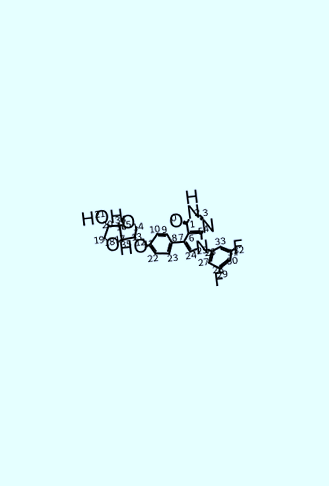 O=c1[nH]cnc2c1c(-c1ccc(O[C@@H]3CO[C@@H]4[C@H]3OC[C@H]4O)cc1)cn2-c1cc(F)cc(F)c1